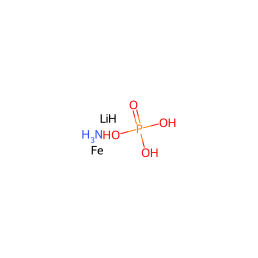 N.O=P(O)(O)O.[Fe].[LiH]